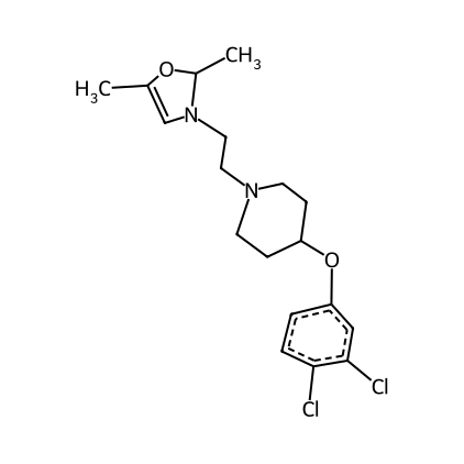 CC1=CN(CCN2CCC(Oc3ccc(Cl)c(Cl)c3)CC2)C(C)O1